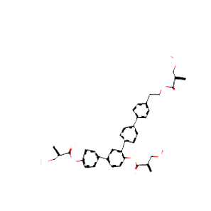 C=C(COC)C(=O)OCCc1ccc(-c2ccc(-c3cc(-c4ccc(OC(=O)C(=C)CO)cc4)ccc3OC(=O)C(=C)COC)cc2)cc1